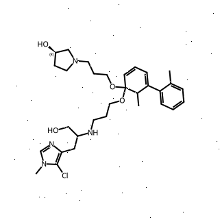 Cc1ccccc1C1=CC=CC(OCCCNC(CO)Cc2ncn(C)c2Cl)(OCCCN2CC[C@@H](O)C2)C1C